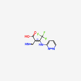 N=C/C(C(=O)O)=C(\Nc1cccnn1)C(F)(F)F